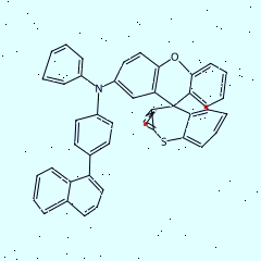 c1ccc(N(c2ccc(-c3cccc4ccccc34)cc2)c2ccc3c(c2)C2(c4ccccc4O3)c3ccccc3Sc3ccccc32)cc1